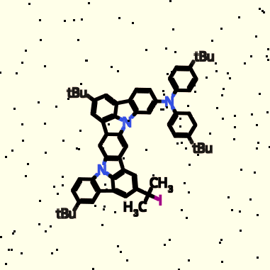 CC(C)(C)C1=CC=C(N(c2ccc(C(C)(C)C)cc2)c2ccc3c4cc(C(C)(C)C)cc5c4n(c3c2)C2=Cc3c(n4c6ccc(C(C)(C)C)cc6c6cc(C(C)(C)I)cc3c64)CC25)CC1